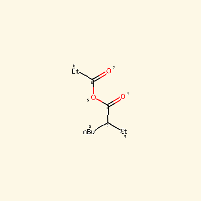 CCCCC(CC)C(=O)OC(=O)CC